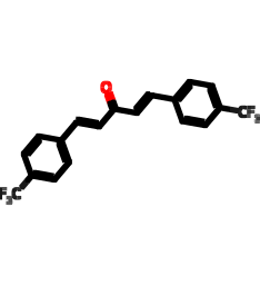 O=C(C=Cc1ccc(C(F)(F)F)cc1)C=Cc1ccc(C(F)(F)F)cc1